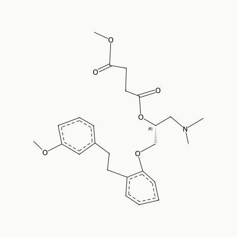 COC(=O)CCC(=O)O[C@@H](COc1ccccc1CCc1cccc(OC)c1)CN(C)C